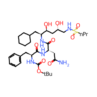 CCCS(=O)(=O)NC[C@@H](O)C[C@H](O)[C@H](CC1CCCCC1)NC(=O)[C@H](CC(N)=O)NC(=O)[C@H](Cc1ccccc1)NC(=O)OC(C)(C)C